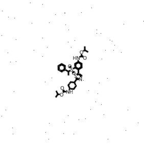 CC(C)OC(=O)Nc1ccc(-c2cnc(C3CCC(NC(=O)OC(C)C)CC3)s2)c(S(=O)(=O)C(C)c2ccccc2)c1